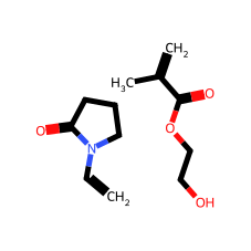 C=C(C)C(=O)OCCO.C=CN1CCCC1=O